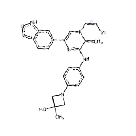 C=C1C(Nc2ccc(N3CC(C)(O)C3)cc2)=NC(c2ccc3cn[nH]c3c2)=CN1/C=C\C(C)C